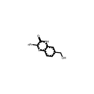 CCCc1nc2ccc(CO)cc2[nH]c1=O